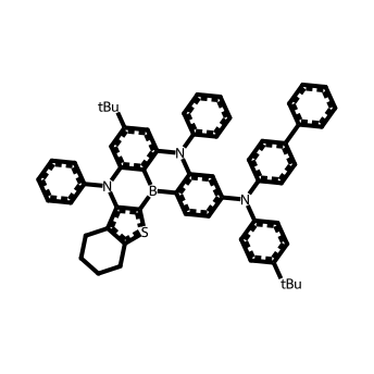 CC(C)(C)c1ccc(N(c2ccc(-c3ccccc3)cc2)c2ccc3c(c2)N(c2ccccc2)c2cc(C(C)(C)C)cc4c2B3c2sc3c(c2N4c2ccccc2)CCCC3)cc1